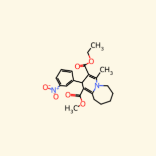 CCOC(=O)C1=C(C)N2CCCCCC2=C(C(=O)OC)C1c1cccc([N+](=O)[O-])c1